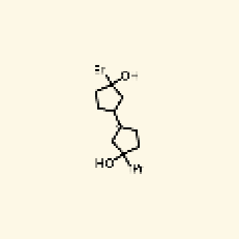 CCC1(O)CCC([C]2CCC(O)(C(C)C)C2)C1